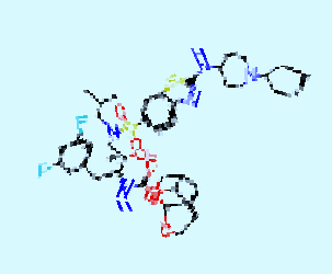 CC(C)CN(C[C@@H](O)C(Cc1cc(F)cc(F)c1)NC(=O)OC1C2COC3OCC1C3C2)S(=O)(=O)c1ccc2nc(NC3CCN(C4CCCC4)CC3)sc2c1